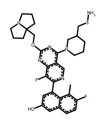 Cc1c(F)ccc2cc(O)cc(-c3ncc4c(N5CCCC(CSN)C5)nc(OCC56CCCN5CCC6)nc4c3F)c12